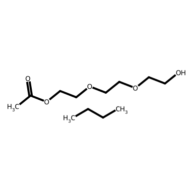 CC(=O)OCCOCCOCCO.CCCC